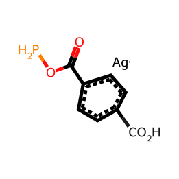 O=C(O)c1ccc(C(=O)OP)cc1.[Ag]